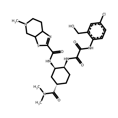 CN1CCC2N=C(C(=O)N[C@@H]3C[C@@H](C(=O)N(C)C)CC[C@@H]3NC(=O)C(=O)Nc3ccc(Cl)cc3CO)SC2C1